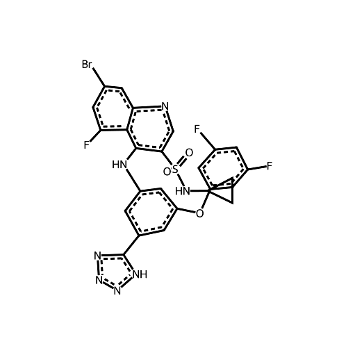 O=S(=O)(NC1CC1)c1cnc2cc(Br)cc(F)c2c1Nc1cc(Oc2cc(F)cc(F)c2)cc(-c2nnn[nH]2)c1